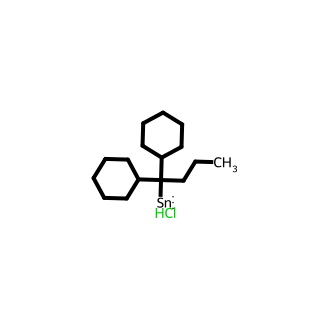 CCC[C]([Sn])(C1CCCCC1)C1CCCCC1.Cl